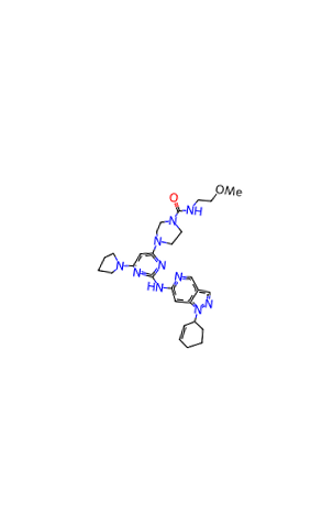 COCCNC(=O)N1CCN(c2cc(N3CCCC3)nc(Nc3cc4c(cn3)cnn4C3C=CCCC3)n2)CC1